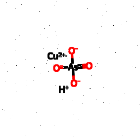 O=[As]([O-])([O-])[O-].[Cu+2].[H+]